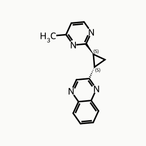 Cc1ccnc([C@H]2C[C@@H]2c2cnc3ccccc3n2)n1